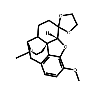 COc1ccc2c3c1O[C@H]1C4(CCC5C(C2)N(C)CC[C@@]351)OCCO4